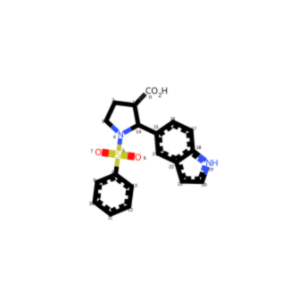 O=C(O)C1CCN(S(=O)(=O)c2ccccc2)C1c1ccc2[nH]ccc2c1